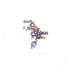 CNC(=O)[C@@H]1C[C@@H](O)C[N+]1(C)C1(c2cc(CCN3CCN(C)CC3)ccc2OC)C(=O)N(S(=O)(=O)c2ccc(OC)cc2OC(F)(F)F)c2ccc(Cl)cc21